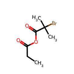 CCC(=O)OC(=O)C(C)(C)Br